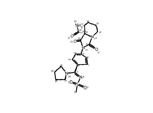 CS(=O)(=O)N=C(c1ccc(N2C(=O)N3CCC[CH][C@]3(C(N)=O)C2=O)cc1)N1CCCC1